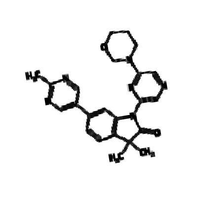 Cc1ncc(-c2ccc3c(c2)N(c2cncc(N4CCCOC4)n2)C(=O)C3(C)C)cn1